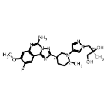 COc1cc2nc(N)n3nc([C@@H]4CC[C@H](C)N(c5cnn(C[C@@](C)(O)CO)c5)C4)nc3c2cc1F